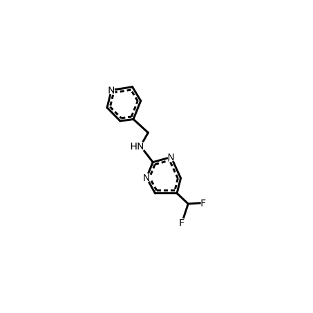 FC(F)c1cnc(NCc2ccncc2)nc1